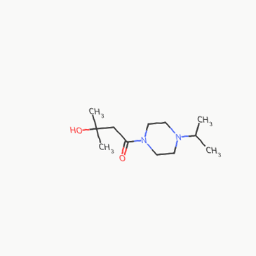 CC(C)N1CCN(C(=O)CC(C)(C)O)CC1